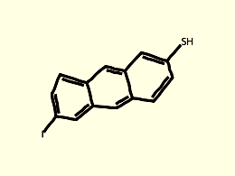 Sc1ccc2cc3cc(I)ccc3cc2c1